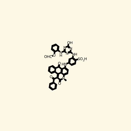 Cn1c(=O)c(C(=O)c2ccccc2)c2c3c(c(Nc4ccc(S(=O)(=O)O)c(Nc5nc(O)nc(Nc6ccccc6OC=O)n5)c4)ccc31)C(=O)c1ccccc1-2